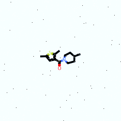 Cc1cc(C(=O)N2CCC(C)CC2)c(C)s1